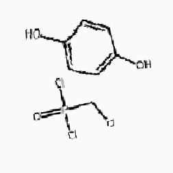 O=P(Cl)(Cl)CCl.Oc1ccc(O)cc1